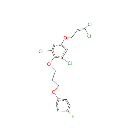 Fc1ccc(OCCCOc2c(Cl)cc(OCC=C(Cl)Cl)cc2Cl)cc1